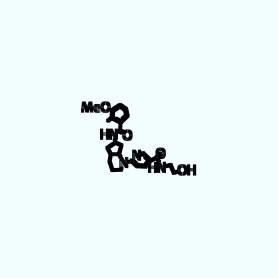 COc1cccc(C(=O)NC2CC3CCCN(c4ccc(C(=O)NCCO)cn4)C3C2)c1C